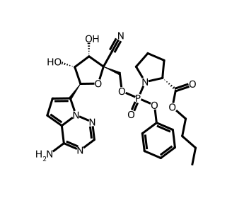 CCCCOC(=O)[C@H]1CCCN1P(=O)(OC[C@@]1(C#N)O[C@@H](c2ccc3c(N)ncnn23)[C@H](O)[C@@H]1O)Oc1ccccc1